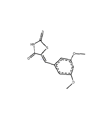 COc1cc(/C=C2\SC(=S)NC2=O)cc(OC)c1